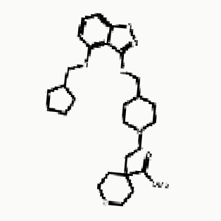 COC(=O)C1(CCN2CCC(COc3noc4cccc(OCC5CCCC5)c34)CC2)CCOCC1